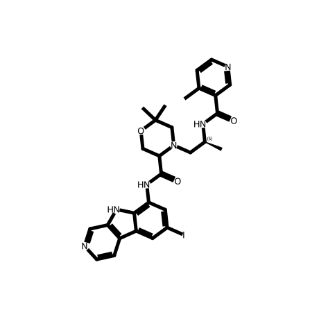 Cc1ccncc1C(=O)N[C@@H](C)CN1CC(C)(C)OCC1C(=O)Nc1cc(I)cc2c1[nH]c1cnccc12